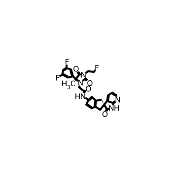 CC1(c2cc(F)cc(F)c2)C(=O)N(CCF)C(=O)N1CC(=O)Nc1ccc2c(c1)C[C@@]1(C2)C(=O)Nc2ncccc21